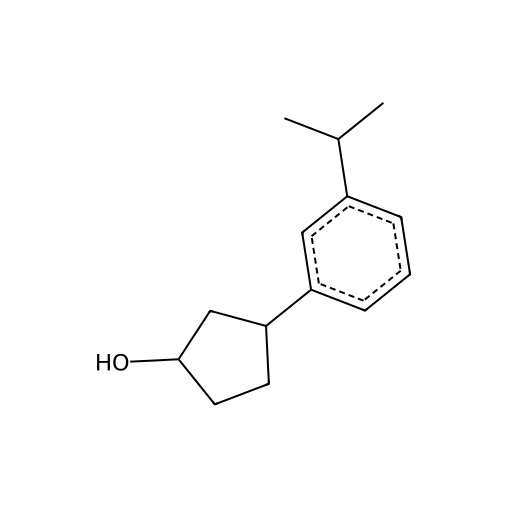 CC(C)c1cccc(C2CCC(O)C2)c1